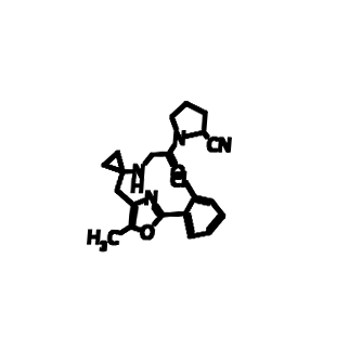 Cc1oc(-c2ccccc2Cl)nc1CC1(NCC(=O)N2CCCC2C#N)CC1